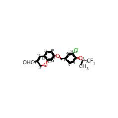 C[C@H](Oc1ccc(COc2ccc3c(c2)OCC(C=O)=C3)cc1Cl)C(F)(F)F